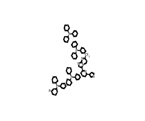 FC(F)(F)c1ccn2c(-c3cccc(-c4ccsc4)n3)cnc2n1.[Pd].c1ccc(P(c2ccccc2)c2ccccc2)cc1.c1ccc(P(c2ccccc2)c2ccccc2)cc1.c1ccc(P(c2ccccc2)c2ccccc2)cc1.c1ccc(P(c2ccccc2)c2ccccc2)cc1